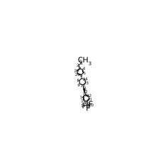 CCCc1ccc([C@H]2CC[C@H](C#Cc3ccc(C(F)(F)F)cc3)CC2)cc1